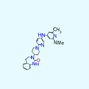 CNc1cc(Nc2ccc(N3CCC(N4CCc5ccccc5NC4=O)CC3)nc2)cc(C)n1